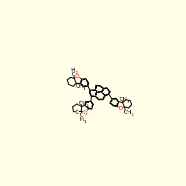 CC12CCCCC1(C)c1cc(-c3ccc4ccc5c(-c6ccc7c(c6)C6(C)CCCCC6(C)O7)cc(-c6ccc7c(c6)C6(C)CCCCC6(C)O7)c6ccc3c4c56)ccc1O2